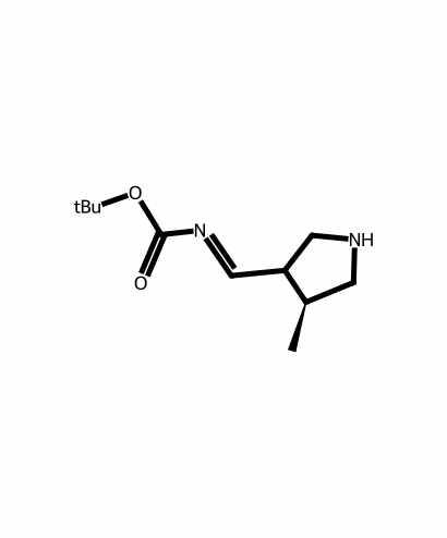 C[C@@H]1CNCC1/C=N/C(=O)OC(C)(C)C